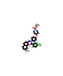 CC(C)(C)OC(=O)N1CCC(Oc2ccc(N(Cc3ccc4ccc(C#N)cc4c3)C(=O)c3c(F)cccc3F)cc2)CC1.Cl.Cl